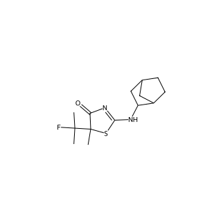 CC(C)(F)C1(C)SC(NC2CC3CCC2C3)=NC1=O